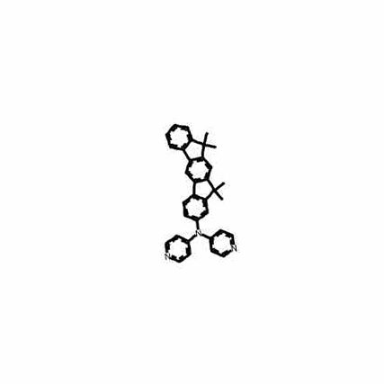 CC1(C)c2ccccc2-c2cc3c(cc21)C(C)(C)c1cc(N(c2ccncc2)c2ccncc2)ccc1-3